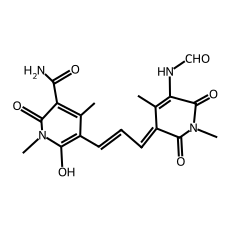 CC1=C(NC=O)C(=O)N(C)C(=O)C1=CC=Cc1c(C)c(C(N)=O)c(=O)n(C)c1O